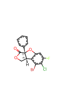 O=C1OC[C@H]2c3c(cc(F)c(Cl)c3Br)O[C@@]12c1ccccc1